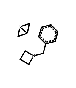 C1C2CN12.c1ccc(CN2CCC2)cc1